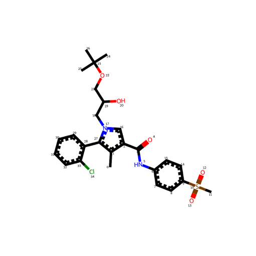 Cc1c(C(=O)Nc2ccc(S(C)(=O)=O)cc2)cn(CC(O)COC(C)(C)C)c1-c1ccccc1Cl